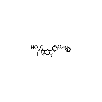 O=C(O)c1c[nH]c2cc(Cl)c(-c3ccc(OCCn4cccn4)cc3)cc12